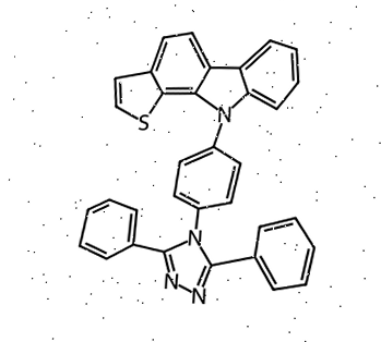 c1ccc(-c2nnc(-c3ccccc3)n2-c2ccc(-n3c4ccccc4c4ccc5ccsc5c43)cc2)cc1